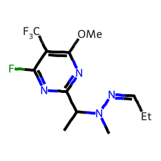 CC/C=N\N(C)C(C)c1nc(F)c(C(F)(F)F)c(OC)n1